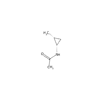 CC(=O)N[C@H]1C[C@H]1C